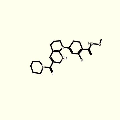 C=C(NOC)C1=C(F)C=C(N2CCCC3=C2NCC(C(=O)N2CCCCC2)=C3)CC1